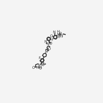 CCN(C)S(=O)(=O)Nc1ccc(F)c(Oc2ccc3ncn([C@@H]4COC5(C4)CN(C4CCC(c6cc7c(cc6F)c(N6CCC(=O)NC6=O)nn7C)CC4)C5)c(=O)c3c2)c1C#N